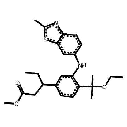 CCOC(C)(C)c1ccc(C(CC)CC(=O)OC)cc1Nc1ccc2nc(C)sc2c1